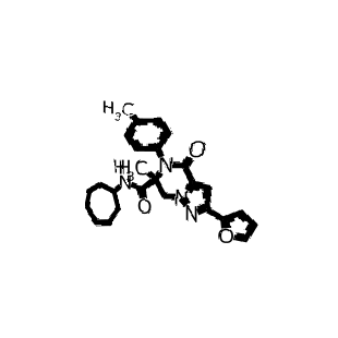 Cc1ccc(N2C(=O)c3cc(-c4ccco4)nn3CC2(C)C(=O)NC2CCCCCC2)cc1